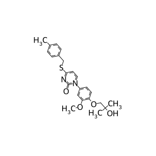 COc1cc(-n2ccc(SCc3ccc(C)cc3)nc2=O)ccc1OCC(C)(C)O